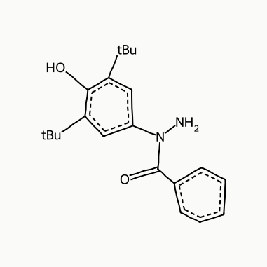 CC(C)(C)c1cc(N(N)C(=O)c2ccccc2)cc(C(C)(C)C)c1O